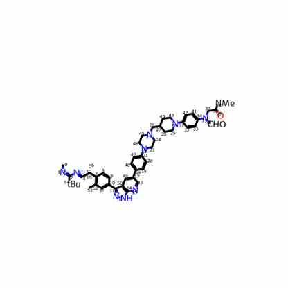 C/N=C(\N=C\[C@H](C)c1ccc(-c2n[nH]c3ncc(-c4ccc(N5CCN(CC6CCN(c7ccc(N(C=O)CC(=O)NC)cc7)CC6)CC5)cc4)cc23)cc1C)C(C)(C)C